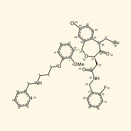 COc1c(OCCCNCc2ccccn2)cccc1[C@H]1O[C@H](CC(=O)NCc2ccccc2F)C(=O)N(CC(C)(C)C)c2ccc(Cl)cc21